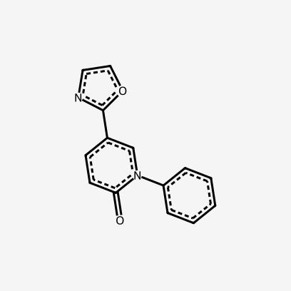 O=c1ccc(-c2ncco2)cn1-c1ccccc1